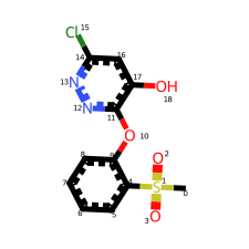 CS(=O)(=O)c1ccccc1Oc1nnc(Cl)cc1O